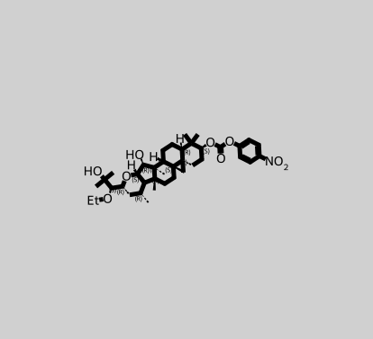 CCO[C@@H]([C@H]1C[C@@H](C)C2[C@H](O1)[C@H](O)[C@@]1(C)[C@@H]3CC[C@H]4C(C)(C)[C@@H](OC(=O)Oc5ccc([N+](=O)[O-])cc5)CC[C@@]45C[C@@]35CC[C@]21C)C(C)(C)O